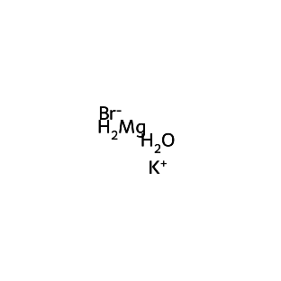 O.[Br-].[K+].[MgH2]